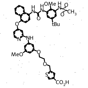 COc1cc(Nc2cc(Oc3ccc(NC(=O)Nc4cc(C(C)(C)C)cc(NS(C)(=O)=O)c4OC)c4ccccc34)ccn2)cc(OCCOCc2cc(C(=O)O)cs2)c1